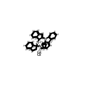 C1=C[C]([Zr+2][CH]2C(n3c4ccccc4c4ccccc43)=Cc3ccccc32)(n2cccc2)c2ccccc21.[Cl-].[Cl-]